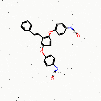 O=C=Nc1ccc(Oc2ccc(Oc3ccc(N=C=O)cc3)c(C=Cc3ccccc3)c2)cc1